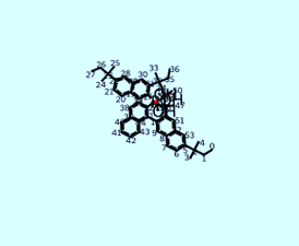 CCC(C)(C)c1ccc2cc(-c3c(P(O)(O)(O)c4cc5ccc(C(C)(C)CC)cc5cc4C(C)(C)CC)ccc4ccccc34)c(C(C)(C)CC)cc2c1